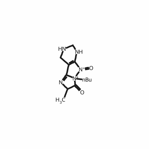 CCCC[N+]12C(=O)C(C)N=C1C1=C(NCNC1)[N+]2=O